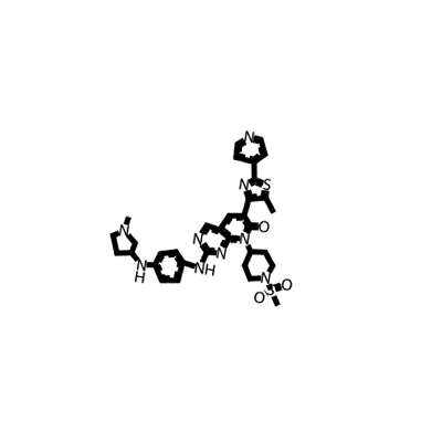 Cc1sc(-c2ccncc2)nc1-c1cc2cnc(Nc3ccc(NC4CCN(C)C4)cc3)nc2n(C2CCN(S(C)(=O)=O)CC2)c1=O